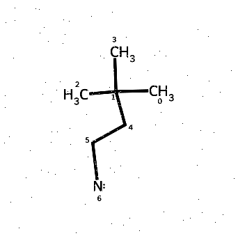 CC(C)(C)CC[N]